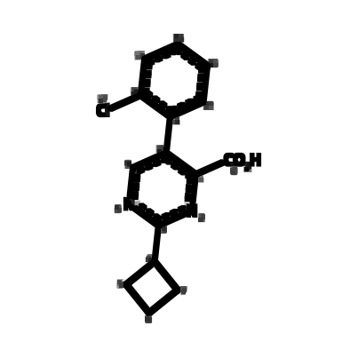 O=C(O)c1nc(C2CCC2)ncc1-c1ccccc1Cl